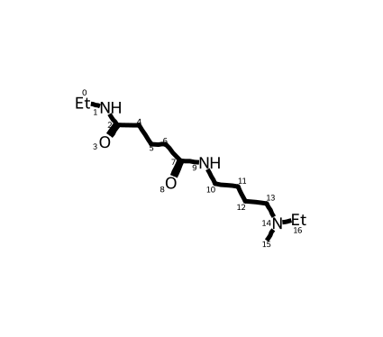 CCNC(=O)CCCC(=O)NCCCCN(C)CC